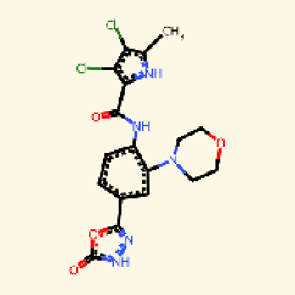 Cc1[nH]c(C(=O)Nc2ccc(-c3n[nH]c(=O)o3)cc2N2CCOCC2)c(Cl)c1Cl